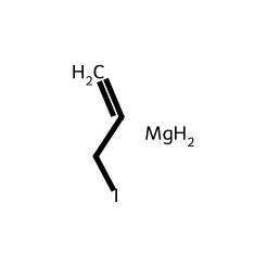 C=CCI.[MgH2]